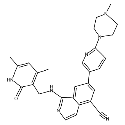 Cc1cc(C)c(CNc2nccc3c(C#N)cc(-c4ccc(N5CCN(C)CC5)nc4)cc23)c(=O)[nH]1